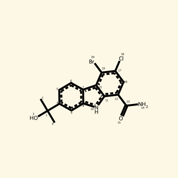 CC(C)(O)c1ccc2c(c1)[nH]c1c(C(N)=O)cc(Cl)c(Br)c12